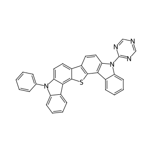 c1ccc(-n2c3ccccc3c3c4sc5c(ccc6c5c5ccccc5n6-c5ncncn5)c4ccc32)cc1